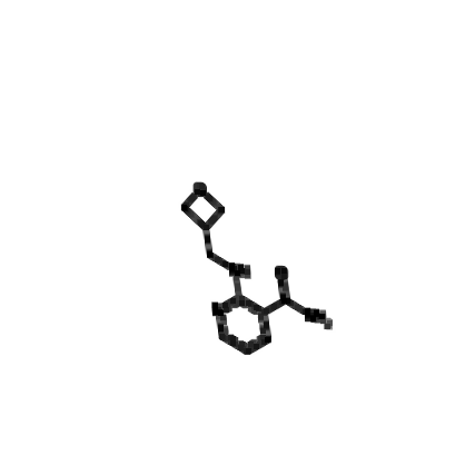 NC(=O)c1cccnc1NCC1COC1